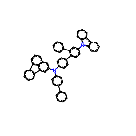 c1ccc(-c2ccc(N(c3ccc(-c4ccc(-n5c6ccccc6c6ccccc65)cc4-c4ccccc4)cc3)c3cc4c5c(cccc5c3)-c3ccccc3-4)cc2)cc1